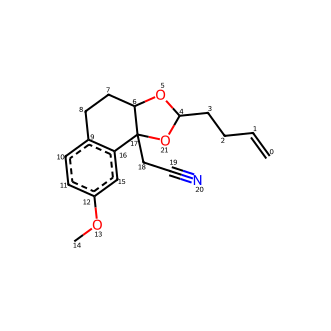 C=CCCC1OC2CCc3ccc(OC)cc3C2(CC#N)O1